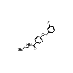 CC(C)(C)CCNC(=O)c1ccc(OCc2cccc(F)c2)nc1